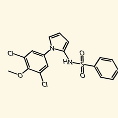 COc1c(Cl)cc(-n2cccc2NS(=O)(=O)c2ccccc2)cc1Cl